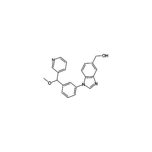 COC(c1cccnc1)c1cccc(-n2cnc3cc(CO)ccc32)c1